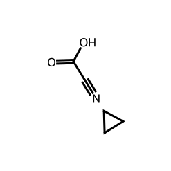 C1CC1.N#CC(=O)O